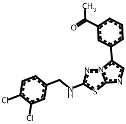 CC(=O)c1cccc(-c2cnc3sc(NCc4ccc(Cl)c(Cl)c4)nn23)c1